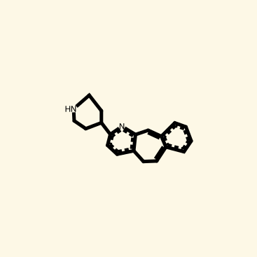 C1=c2ccccc2=Cc2nc(C3CCNCC3)ccc2C1